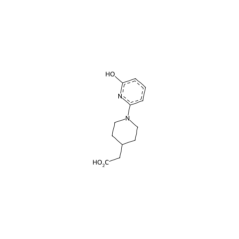 O=C(O)CC1CCN(c2cccc(O)n2)CC1